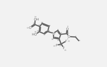 CCOC(=O)c1cn(-c2ccc(C(=O)O)c(O)c2)cc1C(F)(F)F